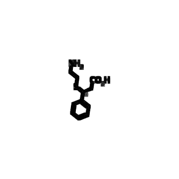 NCCS[C@@H](CC(=O)O)c1ccccc1